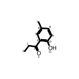 CCC(=O)c1cc(C)ccc1O